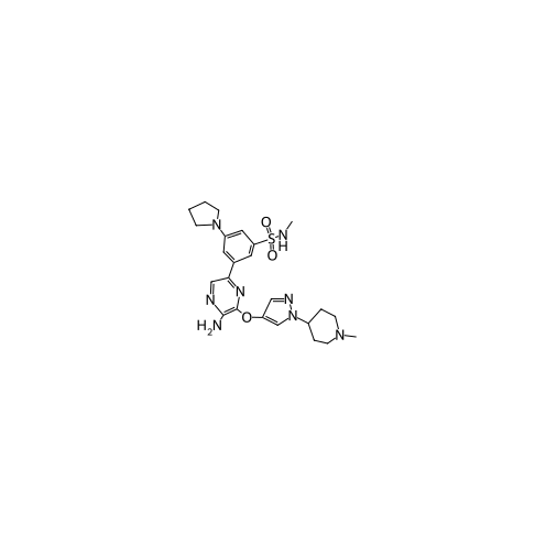 CNS(=O)(=O)c1cc(-c2cnc(N)c(Oc3cnn(C4CCN(C)CC4)c3)n2)cc(N2CCCC2)c1